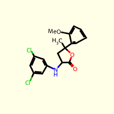 COc1ccccc1C1(C)CC(Nc2cc(Cl)cc(Cl)c2)C(=O)O1